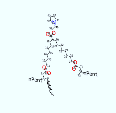 C=C=C=C=CC(CCCCC)CC(=O)OCCCCCCCCC(CCCCCCCCOC(=O)CC(C)CCCCC)C(=O)OCCN1CCCC1